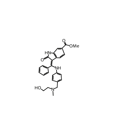 COC(=O)c1ccc2c(c1)NC(=O)C2=C(Nc1ccc(CN(C)CCO)cc1)c1ccccc1